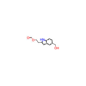 O=COCCc1cc2cc(CO)ccc2[nH]1